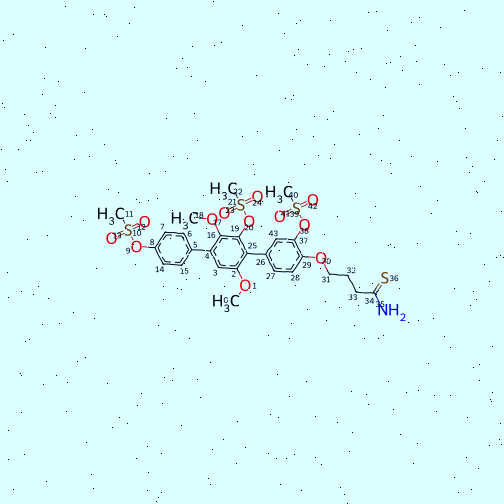 COc1cc(-c2ccc(OS(C)(=O)=O)cc2)c(OC)c(OS(C)(=O)=O)c1-c1ccc(OCCCC(N)=S)c(OS(C)(=O)=O)c1